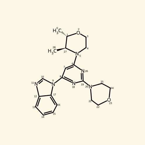 C[C@@H]1OCCN(c2cc(-n3cnc4ccccc43)nc(N3CCOCC3)n2)[C@H]1C